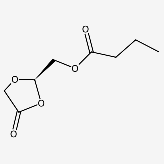 CCCC(=O)OC[C@@H]1OCC(=O)O1